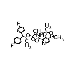 COc1ccnc(C(=O)N[C@@H](C)C(=O)O[C@@H](C)C(c2ccc(F)cc2)c2ccc(F)cc2)c1OC(C)=O